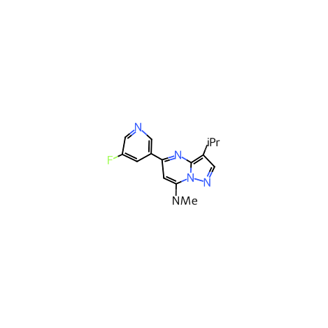 CNc1cc(-c2cncc(F)c2)nc2c(C(C)C)cnn12